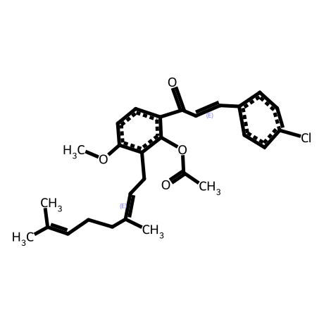 COc1ccc(C(=O)/C=C/c2ccc(Cl)cc2)c(OC(C)=O)c1C/C=C(\C)CCC=C(C)C